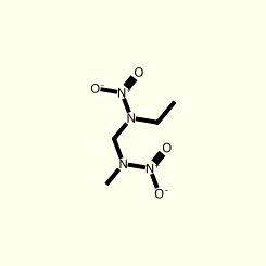 CCN(CN(C)[N+](=O)[O-])[N+](=O)[O-]